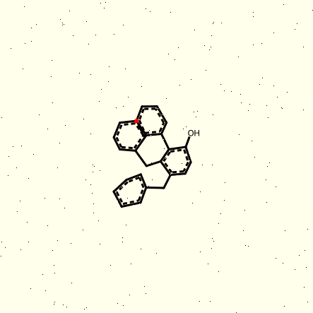 Oc1ccc(Cc2ccccc2)c(Cc2ccccc2)c1-c1ccccc1